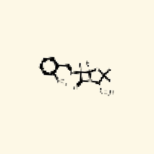 CC1(C)S[C@H]2N(C(=O)[C@]2(C)N=Cc2ccccc2[N+](=O)[O-])[C@H]1C(=O)O